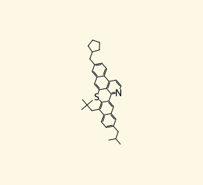 CC(C)Cc1ccc2c(CC(C)(C)C)c3c(cc2c1)-c1nccc2c1c(cc1cc(CC4CCCC4)ccc12)S3